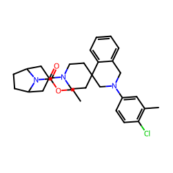 CCOC(=O)N1C2CCC1CC(N1CCC3(CC1)CN(c1ccc(Cl)c(C)c1)Cc1ccccc13)C2